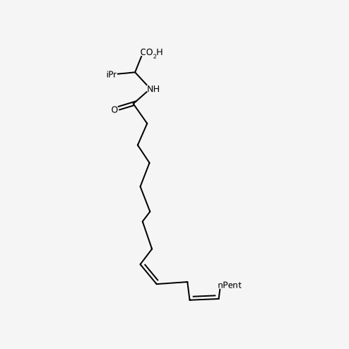 CCCCC/C=C\C/C=C\CCCCCCCC(=O)NC(C(=O)O)C(C)C